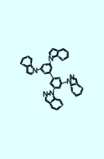 c1ccc2c(c1)ccn2-c1cc(-c2cc(-n3ncc4ccccc43)cc(-n3ncc4ccccc43)c2)cc(-n2ccc3ccccc32)c1